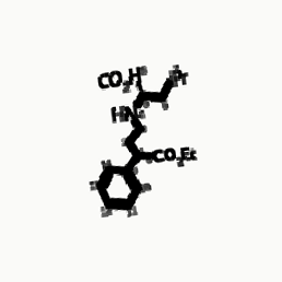 CCOC(=O)C(CCN[C@@H](CC(C)C)C(=O)O)c1ccccc1